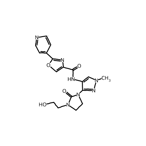 Cn1cc(NC(=O)c2coc(-c3c[c]ncc3)n2)c(N2CCN(CCO)C2=O)n1